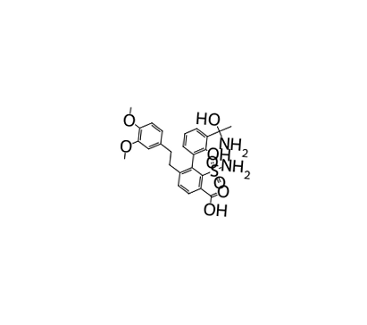 COc1ccc(CCc2ccc(C(=O)O)c(S(N)(=O)=O)c2-c2cccc(C(C)(N)O)c2O)cc1OC